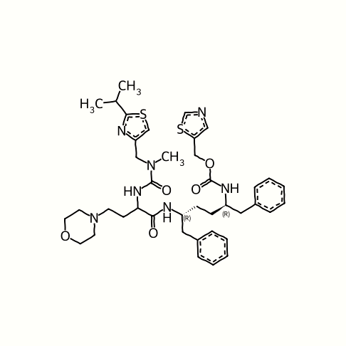 CC(C)c1nc(CN(C)C(=O)NC(CCN2CCOCC2)C(=O)N[C@H](CC[C@H](Cc2ccccc2)NC(=O)OCc2cncs2)Cc2ccccc2)cs1